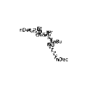 CCCCCCCCCCCCCCCCCC(=O)OC(CCCC)CCCCC(CCCC(=O)OC(CC)CCCCCCCCCCCCC)C(C)C